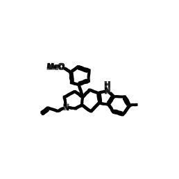 C=CCN1CCC2(c3cccc(OC)c3)Cc3[nH]c4cc(C)ccc4c3CC2C1